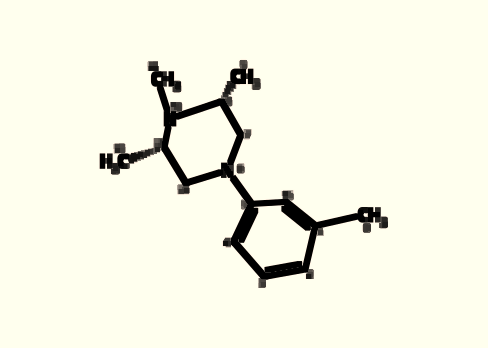 Cc1cccc(N2C[C@@H](C)N(C)[C@@H](C)C2)c1